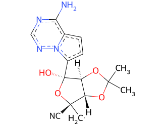 [CH2][C@]1(C#N)O[C@@](O)(c2ccc3c(N)ncnn23)[C@H]2OC(C)(C)O[C@@H]21